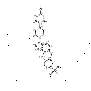 CS(=O)(=O)c1ccc(Nc2ncnc3c(C4CCN(c5ncc(Cl)cn5)CC4)coc23)c(F)c1